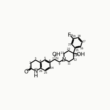 O=C1CCc2cc([C@H](O)CN3CCC(O)(c4cccc(F)c4)CC3)ccc2N1